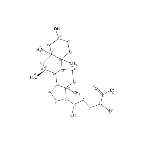 CCC(=O)C(CCC(C)C1CCC2C3C(CCC12C)C1(C)CCC(O)CC1(N)C[C@@H]3C)C(C)C